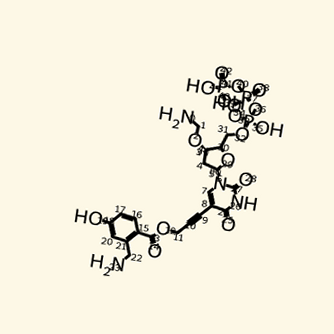 NCO[C@@H]1C[C@H](n2cc(C#CCOC(=O)c3ccc(O)cc3CN)c(=O)[nH]c2=O)OC1COP(=O)(O)OP(=O)(O)OP(=O)(O)O